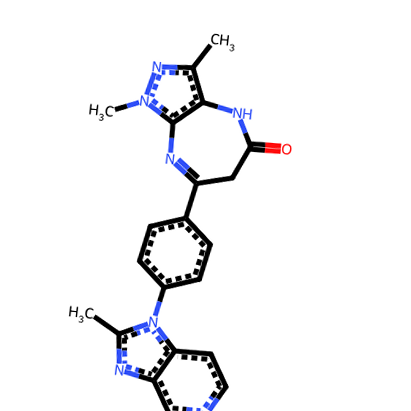 Cc1nn(C)c2c1NC(=O)CC(c1ccc(-n3c(C)nc4cnccc43)cc1)=N2